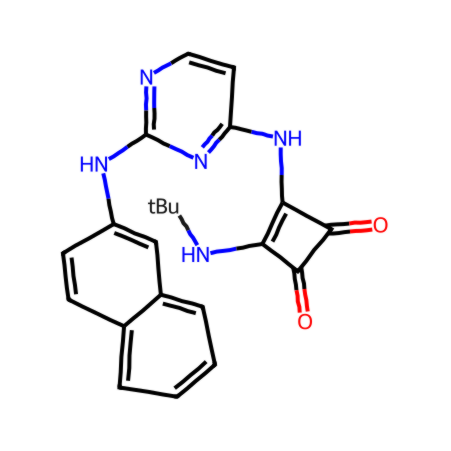 CC(C)(C)Nc1c(Nc2ccnc(Nc3ccc4ccccc4c3)n2)c(=O)c1=O